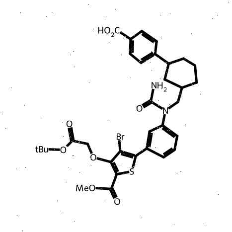 COC(=O)c1sc(-c2cccc(N(CC3CCCC(c4ccc(C(=O)O)cc4)C3)C(N)=O)c2)c(Br)c1OCC(=O)OC(C)(C)C